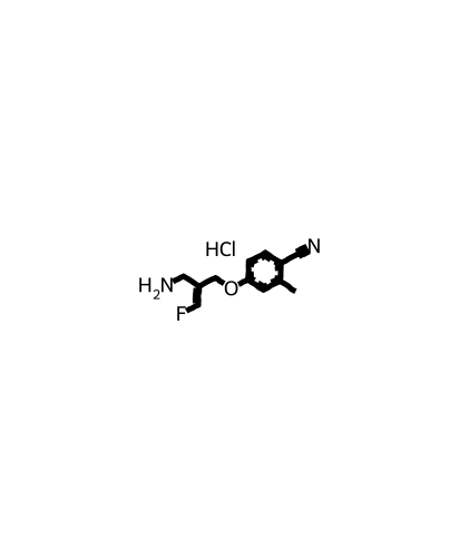 Cc1cc(OCC(=CF)CN)ccc1C#N.Cl